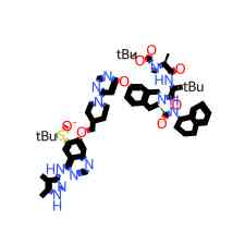 Cc1[nH]nc(Nc2ncnc3cc(OCC4CCN(c5cc(Oc6ccc7c(c6)CN(C(=O)C(NC(=O)[C@H](C)N(C)C(=O)OC(C)(C)C)C(C)(C)C)[C@H](C(=O)N[C@@H]6CCCc8ccccc86)C7)ncn5)CC4)c([S+]([O-])C(C)(C)C)cc23)c1C